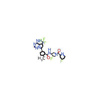 Cc1ccc(-c2cc(C(F)(F)F)c3c(N)ncnn23)cc1C(=O)N[C@@H]1CN(C(=O)c2cc(F)ccn2)C[C@@H]1F